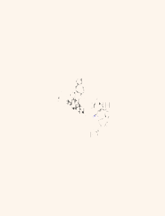 CC(C)(O)c1ccc2c(c1)/C(=C/CCN1CC[C@H](N(Cc3ccc(Cl)cc3)C(=O)N(N)C3CCCCC3)C1)C1=C(CO2)NCC=C1